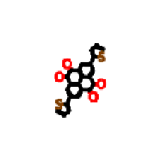 O=c1c(=O)c2cc(-c3cccs3)cc3c2-c2c1cc(-c1cccs1)cc2c(=O)c3=O